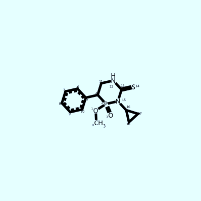 COP1(=O)C(c2ccccc2)CNC(=S)N1C1CC1